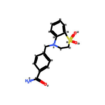 NC(=O)c1ccc(CN2CCS(=O)(=O)c3ccccc32)cc1